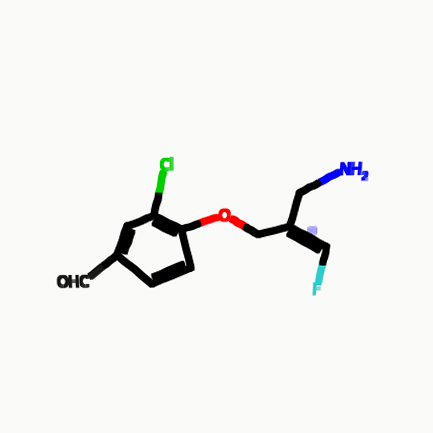 NC/C(=C/F)COc1ccc(C=O)cc1Cl